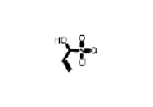 C=CC(O)S(=O)(=O)Cl